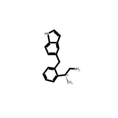 C[C@@H](CN)c1ccccc1Cc1ccc2[nH]ccc2c1